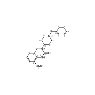 COc1cccc2c1NC(=O)N(C1CCN(Cc3ccccc3)CC1)C2